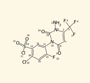 Nn1c(C(F)(F)F)cc(=O)n(-c2cc(S(=O)(=O)Cl)c(Cl)cc2F)c1=O